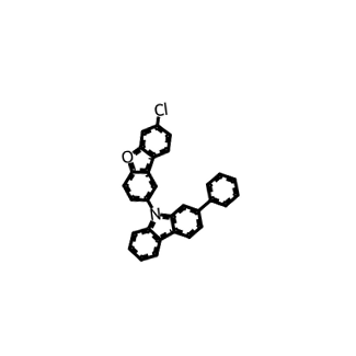 Clc1ccc2c(c1)oc1ccc(-n3c4ccccc4c4ccc(-c5ccccc5)cc43)cc12